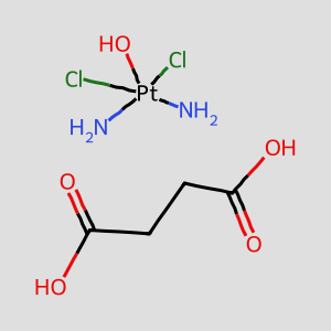 O=C(O)CCC(=O)O.[NH2][Pt]([NH2])([OH])([Cl])[Cl]